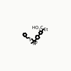 CCC(C(=O)O)c1ccc(-c2ccc(-c3onc(C)c3CSCCc3ccccc3)cc2)cc1